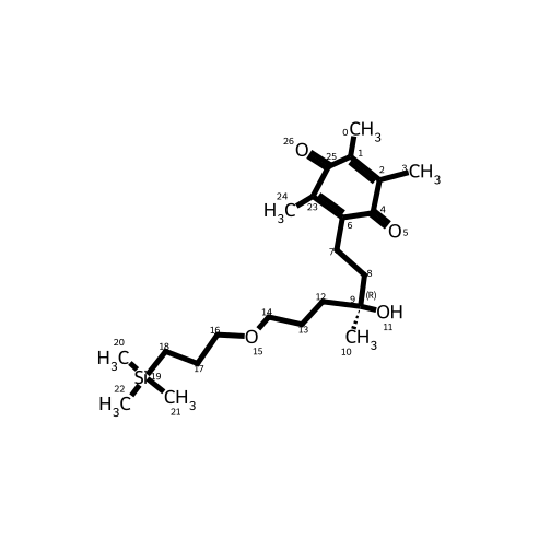 CC1=C(C)C(=O)C(CC[C@@](C)(O)CCCOCCC[Si](C)(C)C)=C(C)C1=O